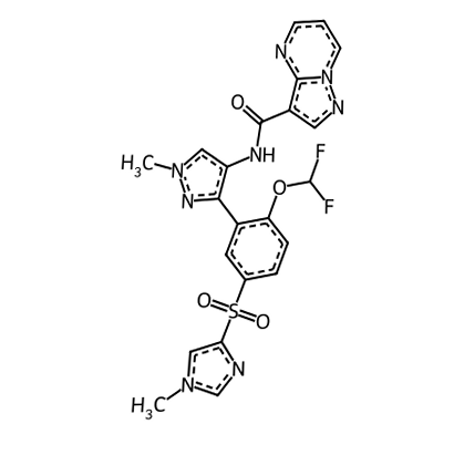 Cn1cnc(S(=O)(=O)c2ccc(OC(F)F)c(-c3nn(C)cc3NC(=O)c3cnn4cccnc34)c2)c1